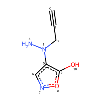 C#CCN(N)c1cnoc1O